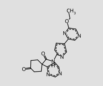 CCOc1cncc(-c2ccc(NC(=O)C3(c4ccncn4)CCC(=O)CC3)nc2)n1